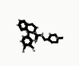 CN1CCC(COC(=O)N2CCc3ccccc3C2c2ccc(F)c(F)c2)CC1